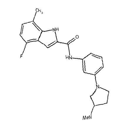 CNC1CCN(c2cccc(NC(=O)c3cc4c(F)ccc(C)c4[nH]3)c2)C1